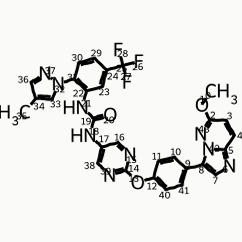 COc1ccc2ncc(-c3ccc(Oc4ncc(NC(=O)Nc5cc(C(F)(F)F)ccc5-n5cc(C)cn5)cn4)cc3)n2n1